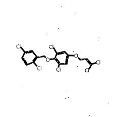 ClC(Cl)=CCOc1cc(Cl)c(OCc2cc(Cl)ccc2Cl)c(Cl)c1